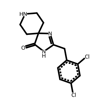 O=C1NC(Cc2ccc(Cl)cc2Cl)=NC12CCNCC2